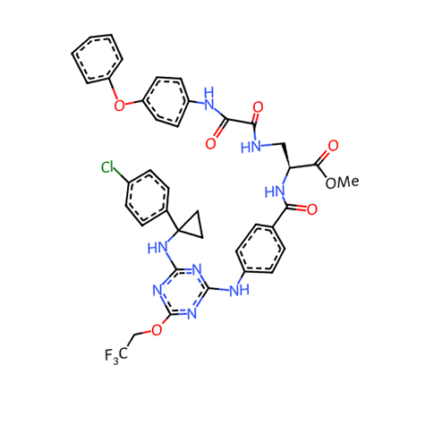 COC(=O)[C@H](CNC(=O)C(=O)Nc1ccc(Oc2ccccc2)cc1)NC(=O)c1ccc(Nc2nc(NC3(c4ccc(Cl)cc4)CC3)nc(OCC(F)(F)F)n2)cc1